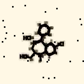 CN1c2ccc(Cl)cc2C(c2ccccc2)=NCC1CO.Cl